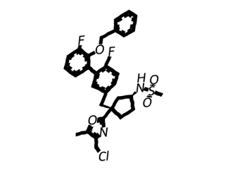 Cc1oc([C@@]2(Cc3ccc(F)c(-c4cccc(F)c4OCc4ccccc4)c3)CC[C@H](NS(C)(=O)=O)C2)nc1CCl